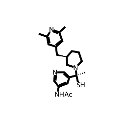 CC(=O)Nc1cncc([C@](C)(S)N2CCC[C@H](Cc3cc(C)nc(C)c3)C2)c1